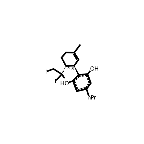 CCCc1cc(O)c([C@@H]2C=C(C)CC[C@H]2C(C)(I)CI)c(O)c1